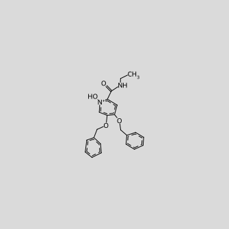 CCNC(=O)c1cc(OCc2ccccc2)c(OCc2ccccc2)c[n+]1O